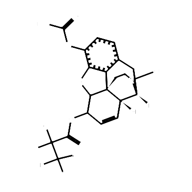 CC(=O)Oc1ccc2c3c1OC1C(OC(=O)C(C)(O)C(F)(F)F)C=C[C@H]4[C@@H](C2)N(C)CC[C@]314